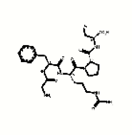 CC(C)C[C@H](NC(=O)[C@@H]1CCCN1C(=O)[C@H](CCCNC(=N)N)NC(=O)[C@H](Cc1ccccc1)NC(=O)CN)C(=O)O